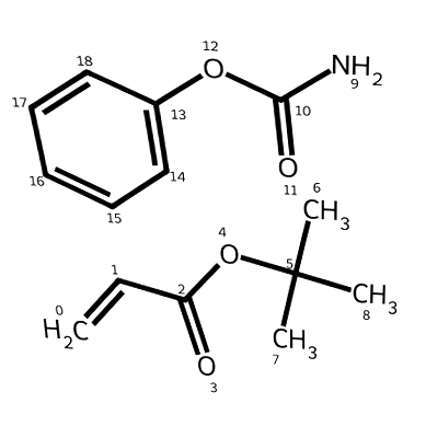 C=CC(=O)OC(C)(C)C.NC(=O)Oc1ccccc1